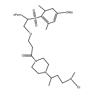 CCCCCC(COCCC(=O)N1CCN(C(C)CCN(C)CC)CC1)S(=O)(=O)C1=C(C)C=C(OC)CC1C